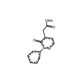 COC(=O)Cc1ccnn(-c2ccccc2)c1=O